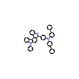 c1ccc(-c2ccc(N(c3ccc(-c4nc5ccccc5c5c4ccc4c5c5ccccc5n4-c4ccccc4)cc3)c3cccc(-c4ccccc4)c3)cc2)cc1